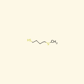 CSCCCCS